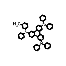 Cc1cccc(N(c2ccccc2)c2ccc3c4cc(N(c5ccccc5)c5ccccc5)ccc4c4cc(N(c5ccccc5)c5ccccc5)ccc4c3c2)c1